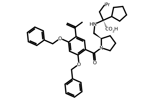 C=C(C)c1cc(C(=O)N2CCC[C@@H]2CN[C@](CC(C)C)(C(=O)O)C2CCCC2)c(OCc2ccccc2)cc1OCc1ccccc1